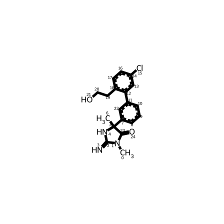 CN1C(=N)NC(C)(c2cccc(-c3cc(Cl)ccc3CCO)c2)C1=O